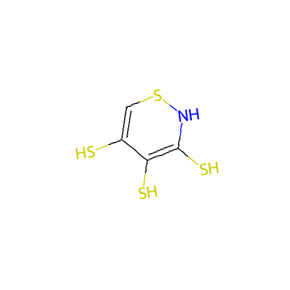 SC1=CSNC(S)=C1S